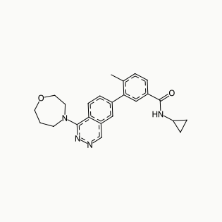 Cc1ccc(C(=O)NC2CC2)cc1-c1ccc2c(N3CCCOCC3)nncc2c1